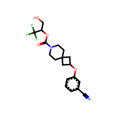 N#Cc1cccc(OC2CC3(CCN(C(=O)OC(CO)C(F)(F)F)CC3)C2)c1